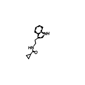 O=C(NCCc1c[nH]c2ccccc12)C1CC1